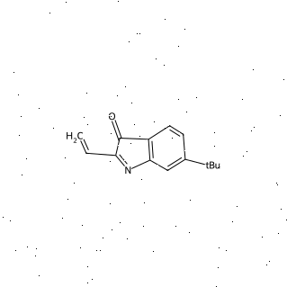 C=CC1=Nc2cc(C(C)(C)C)ccc2C1=O